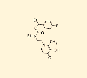 CC[C@H](OC(=O)N(CC)CCn1ccc(=O)c(O)c1C)c1ccc(F)cc1